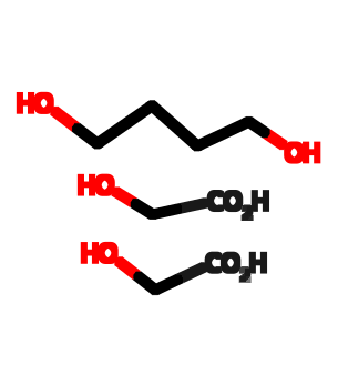 O=C(O)CO.O=C(O)CO.OCCCCO